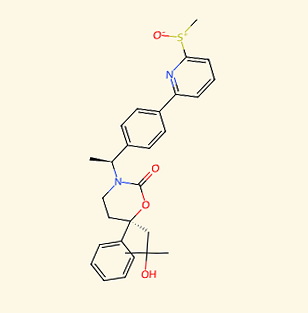 C[C@@H](c1ccc(-c2cccc([S+](C)[O-])n2)cc1)N1CC[C@](CC(C)(C)O)(c2ccccc2)OC1=O